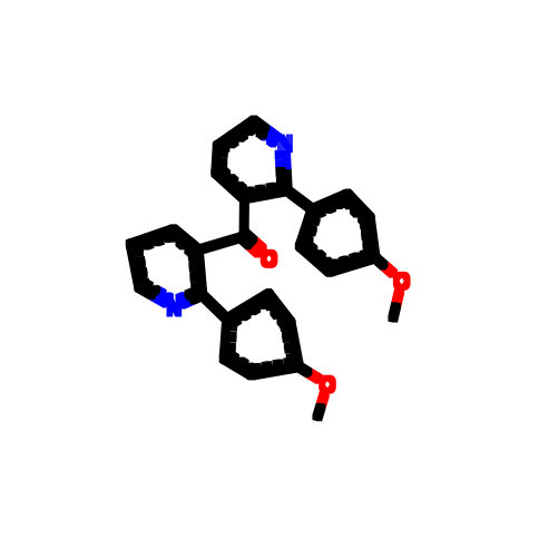 COc1ccc(-c2ncccc2C(=O)c2cccnc2-c2ccc(OC)cc2)cc1